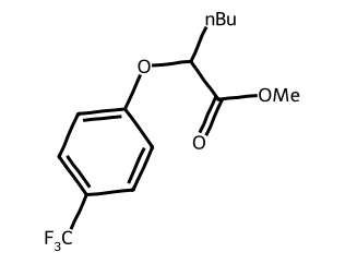 CCCCC(Oc1ccc(C(F)(F)F)cc1)C(=O)OC